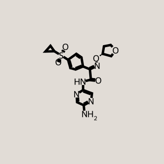 Nc1cnc(NC(=O)/C(=N/O[C@@H]2CCOC2)c2ccc(S(=O)(=O)C3CC3)cc2)cn1